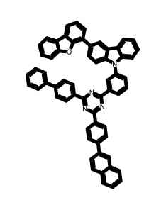 c1ccc(-c2ccc(-c3nc(-c4ccc(-c5ccc6ccccc6c5)cc4)nc(-c4cccc(-n5c6ccccc6c6cc(-c7cccc8c7oc7ccccc78)ccc65)c4)n3)cc2)cc1